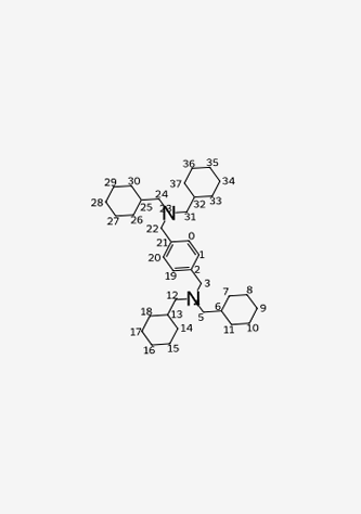 c1cc(CN(CC2CCCCC2)CC2CCCCC2)ccc1CN(CC1CCCCC1)CC1CCCCC1